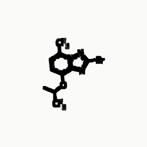 C[C@@H](Oc1ccc(C(F)(F)F)n2nc(Br)nc12)C(F)(F)F